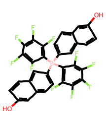 Oc1ccc2cc([B-](c3ccc4cc(O)ccc4c3)(c3c(F)c(F)c(F)c(F)c3F)c3c(F)c(F)c(F)c(F)c3F)ccc2c1